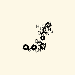 CC(C)(C=C(C#N)C(=O)N1CCC(n2c(=O)n(-c3ccc(Oc4ccccc4)cc3)c3c(N)ncnc32)C1)N1CCOCC1